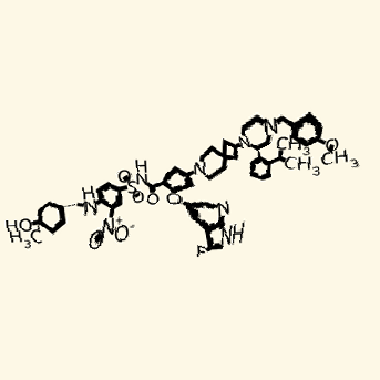 COc1ccc(CN2CCN(C3CC4(CCN(c5ccc(C(=O)NS(=O)(=O)c6ccc(NC[C@H]7CC[C@](C)(O)CC7)c([N+](=O)[O-])c6)c(Oc6cnc7[nH]cc(F)c7c6)c5)CC4)C3)[C@H](c3ccccc3C(C)C)C2)cc1